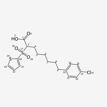 O=C(O)C(CCCCCCc1ccc(Cl)cc1)S(=O)(=O)c1cccs1